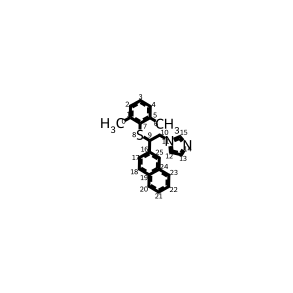 Cc1cccc(C)c1SC(Cn1ccnc1)c1ccc2ccccc2c1